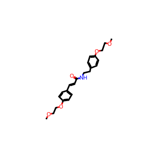 COCCOc1ccc(/C=C/C(=O)NCCc2ccc(OCCOC)cc2)cc1